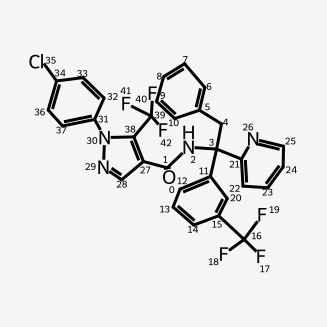 O=C(NC(Cc1ccccc1)(c1cccc(C(F)(F)F)c1)c1ccccn1)c1cnn(-c2ccc(Cl)cc2)c1C(F)(F)F